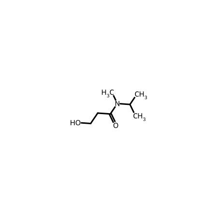 CC(C)N(C)C(=O)CCO